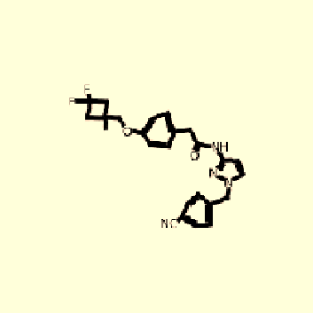 CC1(COc2ccc(CC(=O)Nc3ccn(Cc4ccc(C#N)cc4)n3)cc2)CC(F)(F)C1